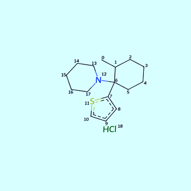 CC1CCCCC1(c1cccs1)N1CCCCC1.Cl